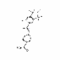 C/C(=C\c1ccc(C(=O)O)cc1)c1cc2c(cc1C)C(C)(C)C(C)C2(C)C